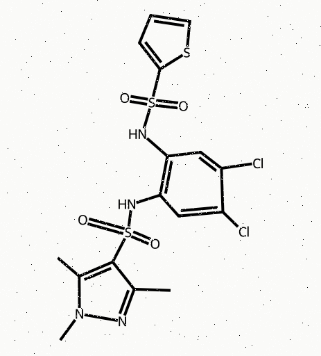 Cc1nn(C)c(C)c1S(=O)(=O)Nc1cc(Cl)c(Cl)cc1NS(=O)(=O)c1cccs1